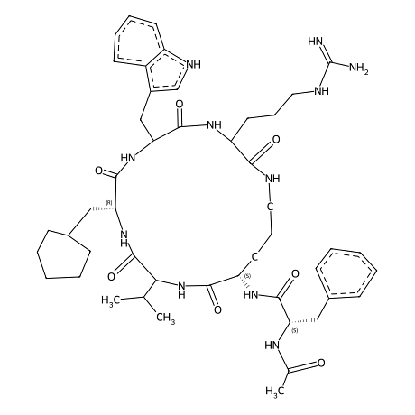 CC(=O)N[C@@H](Cc1ccccc1)C(=O)N[C@H]1CCCNC(=O)C(CCCNC(=N)N)NC(=O)C(Cc2c[nH]c3ccccc23)NC(=O)[C@@H](CC2CCCCC2)NC(=O)C(C(C)C)NC1=O